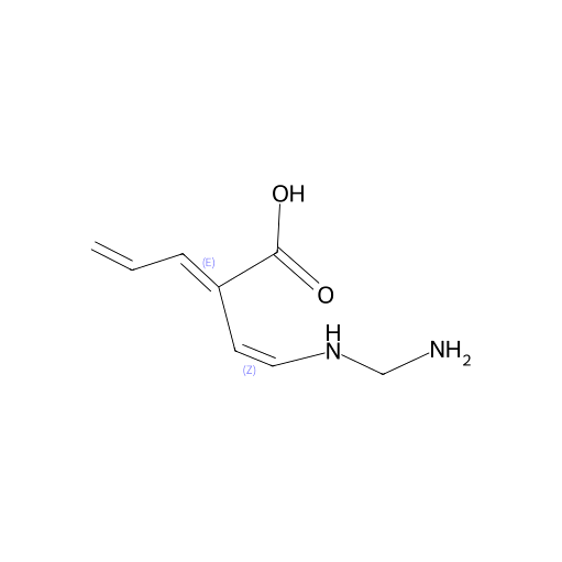 C=C/C=C(\C=C/NCN)C(=O)O